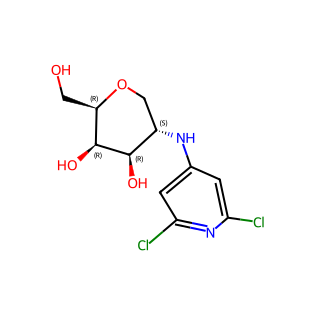 OC[C@H]1OC[C@H](Nc2cc(Cl)nc(Cl)c2)[C@@H](O)[C@H]1O